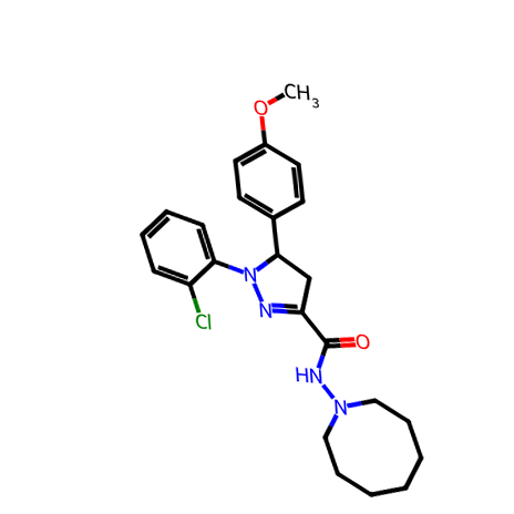 COc1ccc(C2CC(C(=O)NN3CCCCCCC3)=NN2c2ccccc2Cl)cc1